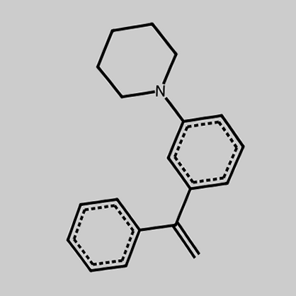 C=C(c1ccccc1)c1cccc(N2CCCCC2)c1